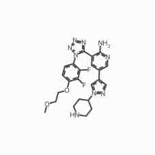 COCCOc1ccc(-n2nnnc2-c2cc(-c3cnn(C4CCNCC4)c3)cnc2N)c(F)c1F